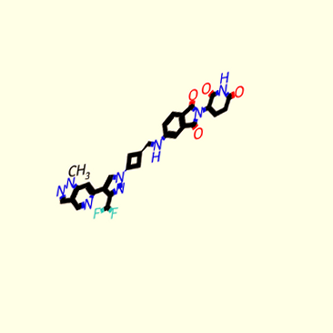 Cn1ncc2cnc(-c3cn([C@H]4C[C@H](CNc5ccc6c(c5)C(=O)N(C5CCC(=O)NC5=O)C6=O)C4)nc3C(F)F)cc21